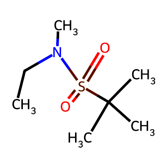 CCN(C)S(=O)(=O)C(C)(C)C